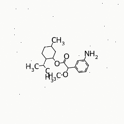 COC(C(=O)OC1CC(C)CCC1C(C)C)c1cccc(N)c1